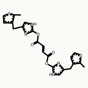 Cc1sccc1Cc1c[nH]c(OC(=O)/C=C/C(=O)Oc2nc(Cc3ccsc3C)c[nH]2)n1